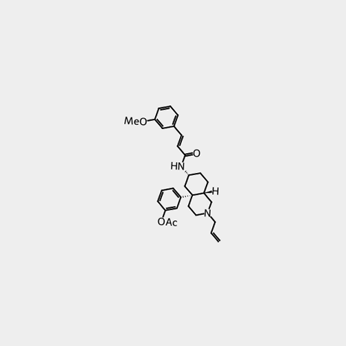 C=CCN1CC[C@@]2(c3cccc(OC(C)=O)c3)C[C@H](NC(=O)C=Cc3cccc(OC)c3)CC[C@@H]2C1